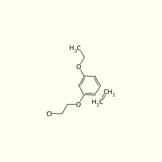 C=C.CCOc1cccc(OCCCl)c1